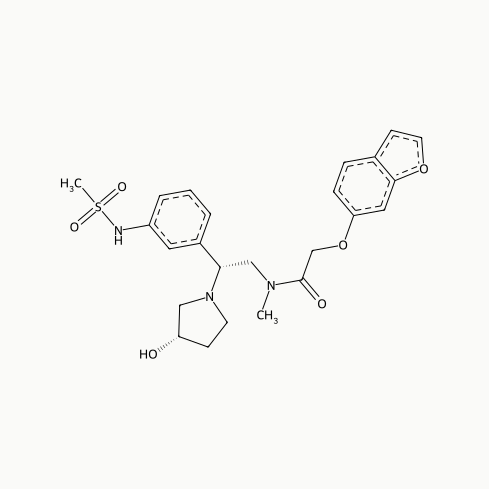 CN(C[C@@H](c1cccc(NS(C)(=O)=O)c1)N1CC[C@H](O)C1)C(=O)COc1ccc2ccoc2c1